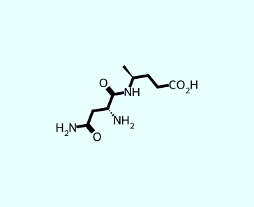 C[C@@H](CCC(=O)O)NC(=O)[C@H](N)CC(N)=O